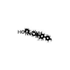 Cc1ccc(-c2ccc(-c3nc4c([nH]3)C=CN(Cc3cccc(O)n3)C4)c(C)c2)cc1